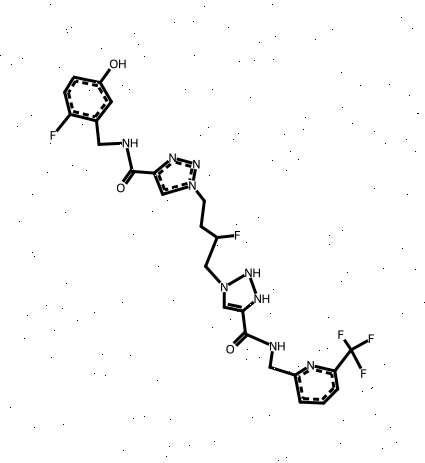 O=C(NCc1cccc(C(F)(F)F)n1)C1=CN(CC(F)CCn2cc(C(=O)NCc3cc(O)ccc3F)nn2)NN1